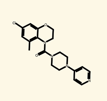 Cc1cc(Cl)cc2c1N(C(=O)N1CCN(c3ccncc3)CC1)CCO2